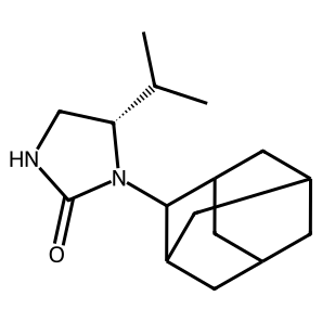 CC(C)[C@H]1CNC(=O)N1C1C2CC3CC(C2)CC1C3